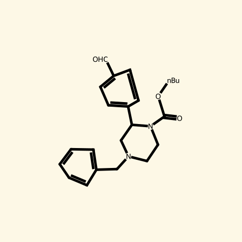 CCCCOC(=O)N1CCN(Cc2ccccc2)CC1c1ccc(C=O)cc1